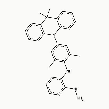 Cc1cc(N2c3ccccc3C(C)(C)c3ccccc32)cc(C)c1Nc1cccnc1NN